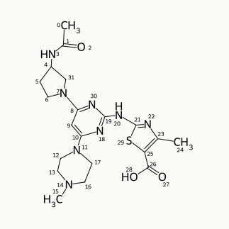 CC(=O)NC1CCN(c2cc(N3CCN(C)CC3)nc(Nc3nc(C)c(C(=O)O)s3)n2)C1